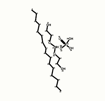 CCCCCCCCCCCCCCCC.O=P(O)(O)O.OCCONOCCO